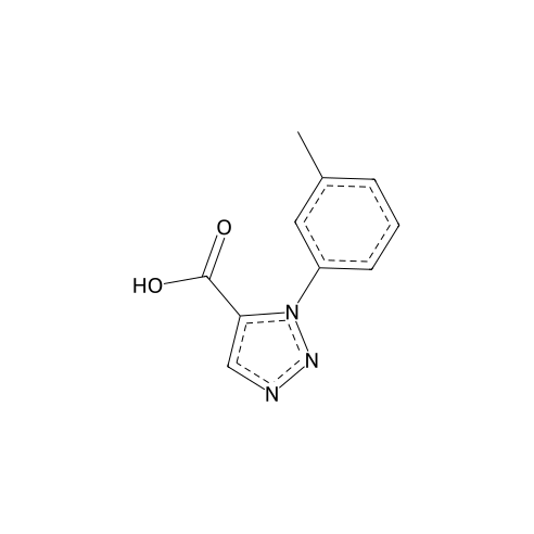 Cc1cccc(-n2nncc2C(=O)O)c1